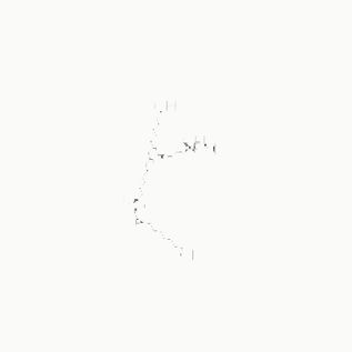 CCCCCCCCCC(CCCCCCC(=O)OCC1CC1CCCCCCCC)OC(=O)CCCN(C)C